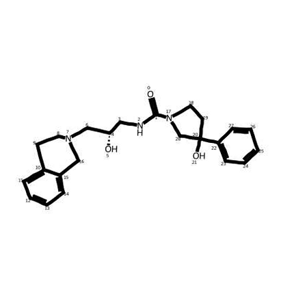 O=C(NC[C@H](O)CN1CCc2ccccc2C1)N1CCC(O)(c2ccccc2)C1